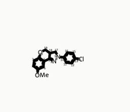 COc1ccc2c(c1)C1=NN(c3ccc(Cl)cc3)CC1CO2